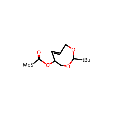 CSC(=O)OC1/C=C/COC(C(C)(C)C)OC1